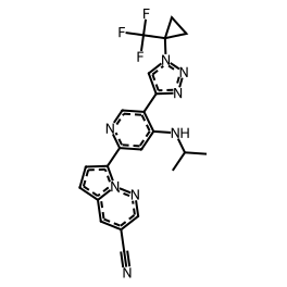 CC(C)Nc1cc(-c2ccc3cc(C#N)cnn23)ncc1-c1cn(C2(C(F)(F)F)CC2)nn1